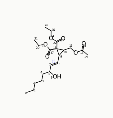 CCCCCC(O)/C=C/C1C(COC(C)=O)C1(C(=O)OCC)C(=O)OCC